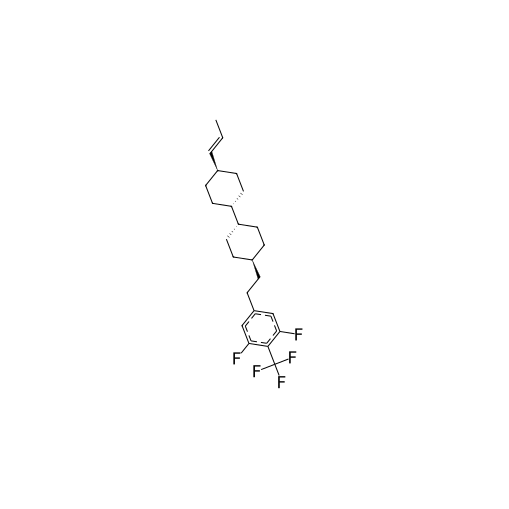 C/C=C/[C@H]1CC[C@H]([C@H]2CC[C@H](CCc3cc(F)c(C(F)(F)F)c(F)c3)CC2)CC1